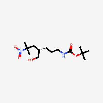 CC(C)(C)OC(=O)NCCC[C@H](CO)CC(C)(C)[N+](=O)[O-]